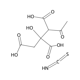 CC(=O)C(C(=O)O)C(O)(CC(=O)O)C(=O)O.N=C=S